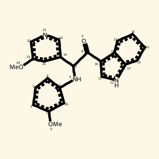 COc1cccc(NC(C(=O)c2c[nH]c3ccccc23)c2cncc(OC)c2)c1